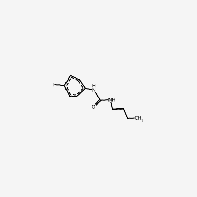 CCCCNC(=O)Nc1ccc(I)cc1